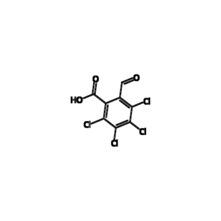 O=Cc1c(Cl)c(Cl)c(Cl)c(Cl)c1C(=O)O